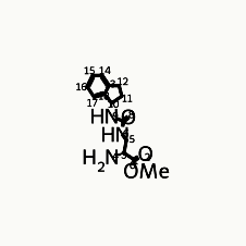 COC(=O)[C@@H](N)CNC(=O)N[C@H]1CCc2ccccc21